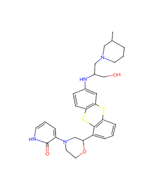 CC1CCCN(CC(CO)Nc2ccc3c(c2)Sc2cccc(C4CN(c5ccc[nH]c5=O)CCO4)c2S3)C1